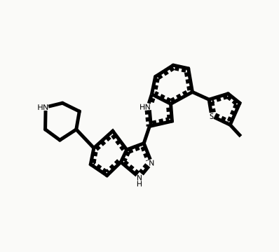 Cc1ccc(-c2cccc3[nH]c(-c4n[nH]c5ccc(C6CCNCC6)cc45)cc23)s1